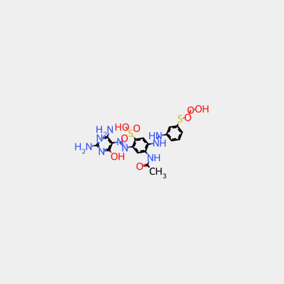 CC(=O)Nc1cc(/N=N/c2c(N)nc(N)nc2O)c(S(=O)(=O)O)cc1NNc1cccc(SOOO)c1